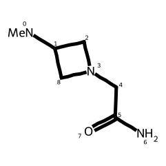 CNC1CN(CC(N)=O)C1